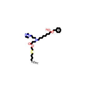 CCCCCCCCCCCCCCSCCOC(=O)CCN(CCCCCCCC(O)OCC12CCC(CC1)CC2)CCCn1ccnc1